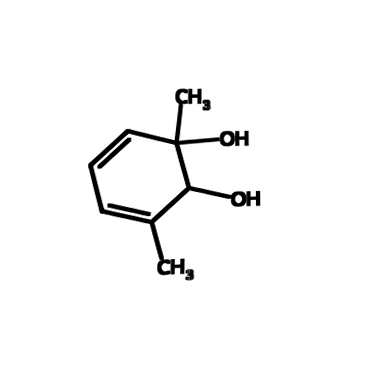 CC1=CC=CC(C)(O)C1O